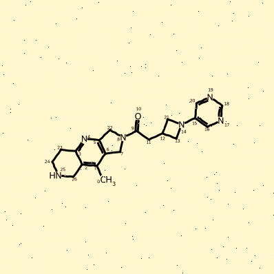 Cc1c2c(nc3c1CN(C(=O)CC1CN(c4cncnc4)C1)C3)CCNC2